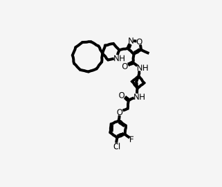 Cc1onc(C2CCC3(CCCCCCCCCC3)CN2)c1C(=O)NC12CC(NC(=O)COc3ccc(Cl)c(F)c3)(C1)C2